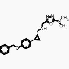 CN(C)c1nnc(CNC[C@@H]2C[C@H]2c2ccc(OCc3ccccc3)cc2)o1